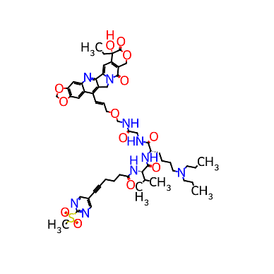 CCCN(CCC)CCCC[C@H](NC(=O)[C@@H](NC(=O)CCCC#Cc1cnc(S(C)(=O)=O)nc1)C(C)C)C(=O)NCC(=O)NCOC/C=C/c1c2c(nc3cc4c(cc13)OCO4)-c1cc3c(c(=O)n1C2)COC(=O)[C@]3(O)CC